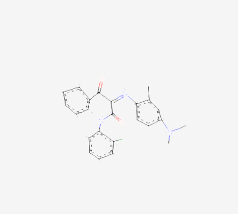 Cc1cc(N(C)C)ccc1/N=C(\C(=O)Nc1ccccc1Cl)C(=O)c1ccccc1